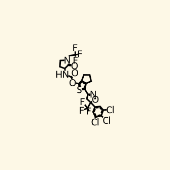 O=C(NC1CCN(CC(F)(F)F)C1=O)Oc1sc(C2=NOC(c3cc(Cl)c(Cl)c(Cl)c3)(C(F)(F)F)C2)c2c1CCC2